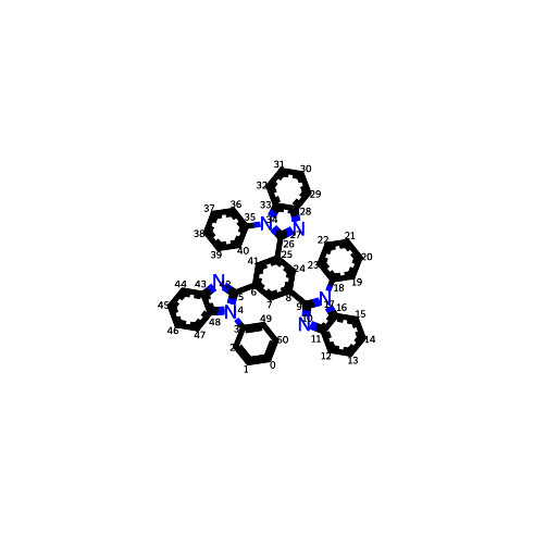 C1=C=CC(n2c(-c3cc(-c4nc5ccccc5n4-c4ccccc4)cc(-c4nc5ccccc5n4-c4ccccc4)c3)nc3ccccc32)=CC=1